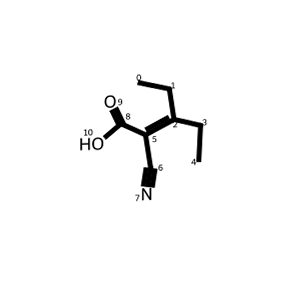 CCC(CC)=C(C#N)C(=O)O